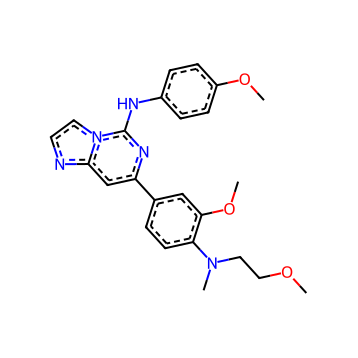 COCCN(C)c1ccc(-c2cc3nccn3c(Nc3ccc(OC)cc3)n2)cc1OC